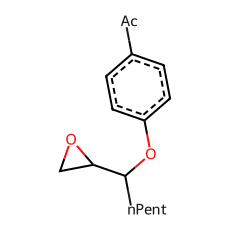 CCCCCC(Oc1ccc(C(C)=O)cc1)C1CO1